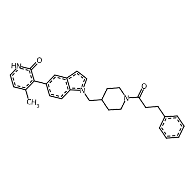 Cc1cc[nH]c(=O)c1-c1ccc2c(ccn2CC2CCN(C(=O)CCc3ccccc3)CC2)c1